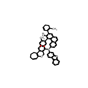 CC1=C(c2cc3ccc4ccc(N(c5ccc6c(c5)sc5ccccc56)c5cccc6c5COC5=C6CCCC=C5)cc4c3c(-c3ccccc3C)c2C)C=CCC1